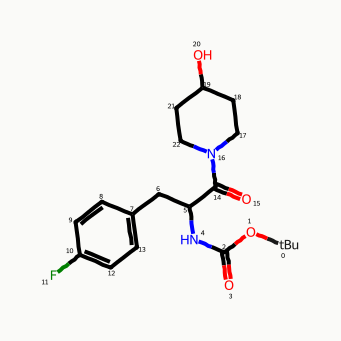 CC(C)(C)OC(=O)NC(Cc1ccc(F)cc1)C(=O)N1CCC(O)CC1